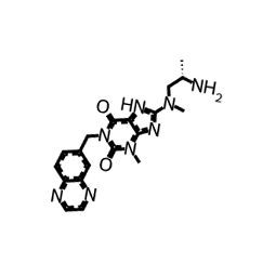 C[C@H](N)CN(C)c1nc2c([nH]1)c(=O)n(Cc1ccc3nccnc3c1)c(=O)n2C